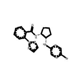 O=C(N[C@@H]1CCC[C@@H]1Nc1cnc(Br)cn1)c1ccccc1-n1nccn1